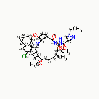 CCn1cc(C(=O)NS2(=O)=NC(=O)c3ccc4c(c3)N(CC3CCC3C(OC)/C=C/CC(C)C2C)CC2(CO4)CC3CC3c3cc(Cl)ccc32)cn1